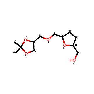 CC1(C)OCC(COCC2CCC(CO)O2)O1